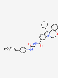 O=C(O)C=Cc1ccc(NC(=O)CNC(=O)c2ccc3c(C4CCCCC4)c4n(c3c2)CCOc2ccccc2-4)cc1